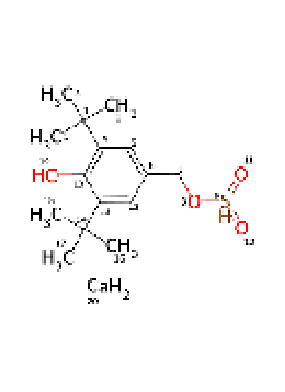 CC(C)(C)c1cc(CO[SH](=O)=O)cc(C(C)(C)C)c1O.[CaH2]